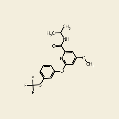 COc1cc(Oc2cccc(SC(F)(F)F)c2)nc(C(=O)NC(C)C)c1